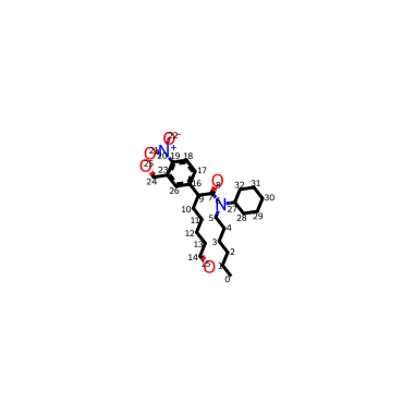 CCCCCCN(C(=O)C(CCCCC=O)c1ccc([N+](=O)[O-])c(C=O)c1)C1CCCCC1